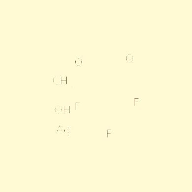 CO.O=C([O-])C(F)(F)F.[Ag+]